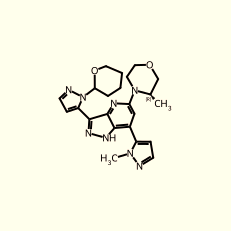 C[C@@H]1COCCN1c1cc(-c2ccnn2C)c2[nH]nc(-c3ccnn3C3CCCCO3)c2n1